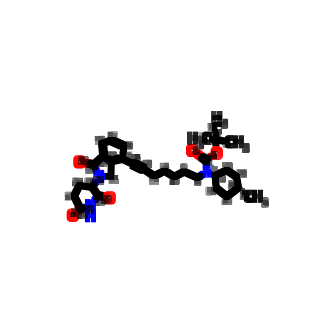 CC(C)(C)OC(=O)N(CCCCCC#Cc1cccc2c1CN(C1CCC(=O)NC1=O)C2=O)[C@H]1CC[C@@H](C)CC1